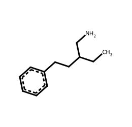 CCC(CN)CCc1ccccc1